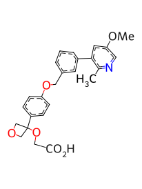 COc1cnc(C)c(-c2cccc(COc3ccc(C4(OCC(=O)O)COC4)cc3)c2)c1